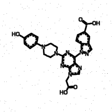 O=C(O)Cn1cnc2c(-n3ncc4cc(C(=O)O)ccc43)nc(N3CCN(c4ccc(O)cc4)CC3)nc21